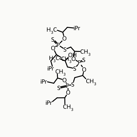 CC(C)CC(C)OP(=S)(OC(C)CC(C)C)SCC(C)OP(=S)(OC(C)CSP(=S)(OC(C)CC(C)C)OC(C)CC(C)C)SCC(C)O